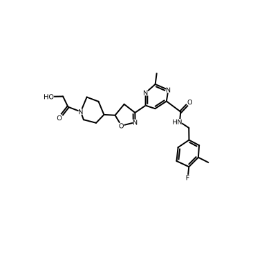 Cc1nc(C(=O)NCc2ccc(F)c(C)c2)cc(C2=NOC(C3CCN(C(=O)CO)CC3)C2)n1